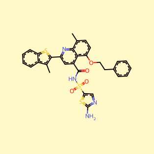 Cc1c(-c2cc(C(=O)NS(=O)(=O)c3cnc(N)s3)c3c(OCCc4ccccc4)ccc(C)c3n2)sc2ccccc12